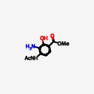 COC(=O)c1ccc(NC(C)=O)c(N)c1O